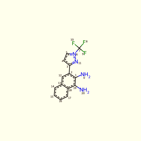 Nc1c(-c2ccn(C(F)(F)F)n2)cc2ccccc2c1N